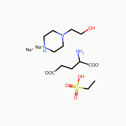 CCS(=O)(=O)O.NC(CCC(=O)[O-])C(=O)[O-].OCCN1CCNCC1.[Na+].[Na+]